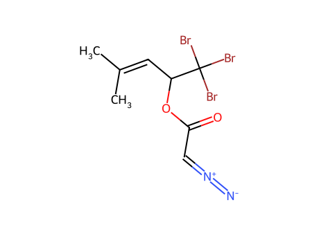 CC(C)=CC(OC(=O)C=[N+]=[N-])C(Br)(Br)Br